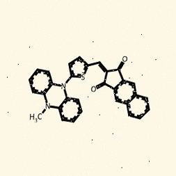 CN1c2ccccc2N(c2ccc(C=C3C(=O)c4cc5ccccc5cc4C3=O)s2)c2ccccc21